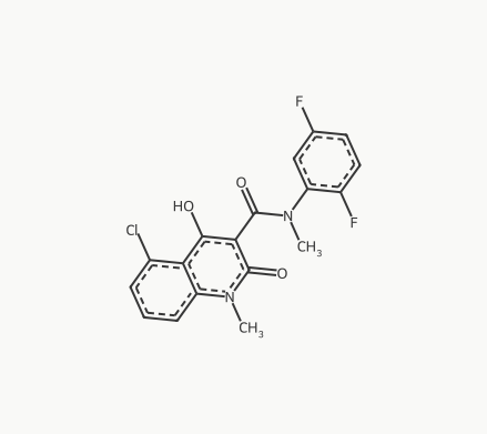 CN(C(=O)c1c(O)c2c(Cl)cccc2n(C)c1=O)c1cc(F)ccc1F